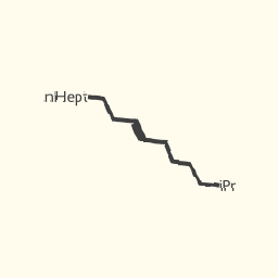 CCCCCCCCCC=CCCCCC(C)C